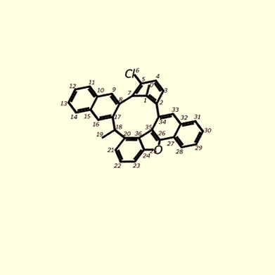 Cc1c2ccc(Cl)c1-c1cc3ccccc3cc1C(C)c1cccc3oc4c5ccccc5cc-2c4c13